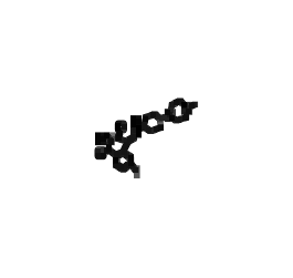 CN1CCN(C2CCC(NC=C3C(=O)NC(=O)c4ccc(I)cc43)CC2)CC1